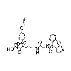 CC#CCOc1ccc(S(=O)(=O)C(CCCCNC(=O)CNC(=O)C2c3ccccc3Oc3ccccc32)C(=O)NO)cc1